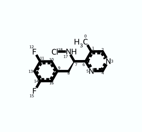 Cc1cncnc1[C@@H](Cc1cc(F)cc(F)c1)NCl